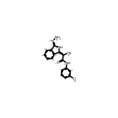 N#CC(C(=O)Nc1cccc(Cl)c1)=C1NC(=NN)c2ccccc21